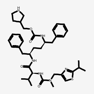 CC(C)c1nc(CN(C)C(=O)N[C@H](C(=O)N[C@H](CC[C@H](Cc2ccccc2)NC(=O)OCC2CCNC2)Cc2ccccc2)C(C)C)cs1